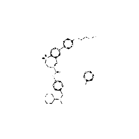 CCCOCCOc1ccc(-c2ccc3c(c2)C=C(C(=O)Nc2ccc(CN(C)C4CCOCC4)cc2)CCS3(=O)=O)cc1.O=S(=O)(O)c1ccccc1